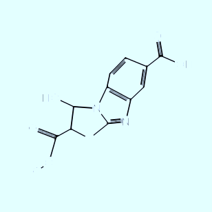 COC(=O)C1Sc2nc3cc(C(=O)O)ccc3n2C1O